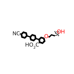 C[Si](C)(O)CCCOc1ccc(C(=O)O)c(-c2ccc(-c3ccc(C#N)cc3)cc2)c1